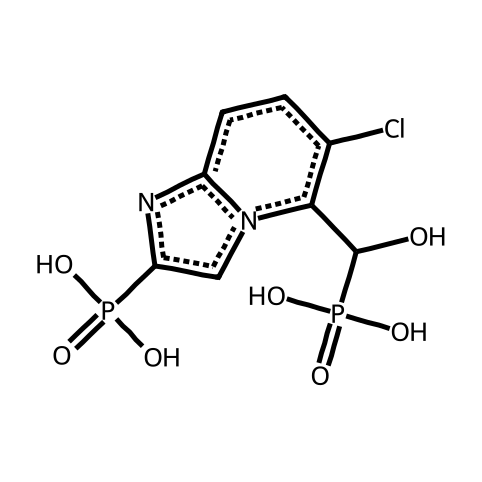 O=P(O)(O)c1cn2c(C(O)P(=O)(O)O)c(Cl)ccc2n1